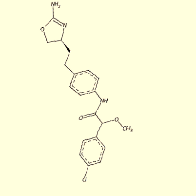 COC(C(=O)Nc1ccc(CC[C@H]2COC(N)=N2)cc1)c1ccc(Cl)cc1